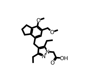 CCc1nn(CC(=O)O)c(CC)c1Cc1cc(COC)c(OC)c2c1CCC2